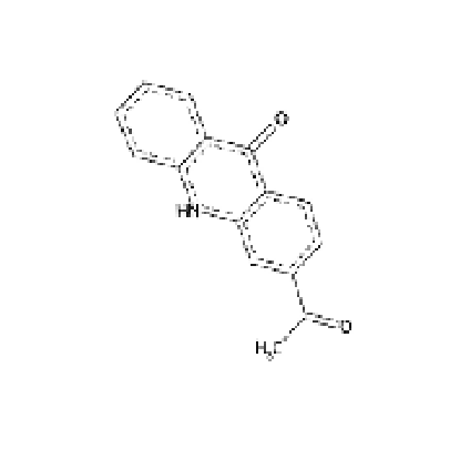 CC(=O)c1ccc2c(=O)c3ccccc3[nH]c2c1